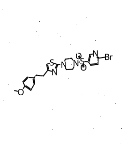 COc1ccc(CCc2csc(N3CCN(S(=O)(=O)c4ccc(Br)nc4)CC3)n2)cc1